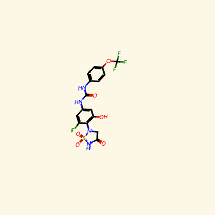 O=C1CN(c2c(O)cc(NC(=O)Nc3ccc(OC(F)(F)F)cc3)cc2F)S(=O)(=O)N1